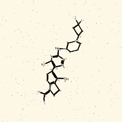 Cc1nc(N[C@@H]2CCCN(C3CC(F)(F)C3)C2)nnc1-c1ccc2c(c1O)CCC2=C(F)F